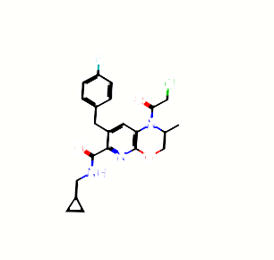 CC1COc2nc(C(=O)NCC3CC3)c(Cc3ccc(F)cc3)cc2N1C(=O)CCl